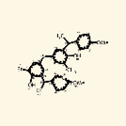 CCc1cc(Sc2cc(C)c(O)c(C(C)c3ccc(OC)cc3)c2)cc(C(CC)c2ccc(OC)cc2)c1O